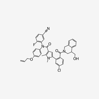 C=CCOc1ccc(N(C(=O)c2cc(-c3cc(Cl)ccc3C(=O)N3Cc4ccccc4C(CO)C3)n(C)c2C)c2cc(C#N)ccc2F)cc1